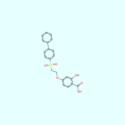 O=C(O)c1ccc(OCCS(=O)(=O)c2ccc(-c3ccccc3)cc2)cc1O